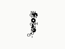 NC(=O)c1cccnc1O[C@H]1CC[C@H](NC(=O)c2cn3nc(OCC(F)(F)F)ccc3n2)CC1